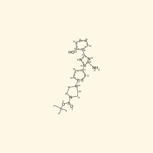 CC(C)(C)OC(=O)N1CCN(c2ccc(-n3nc(-c4ccccc4O)nc3N)cc2)CC1